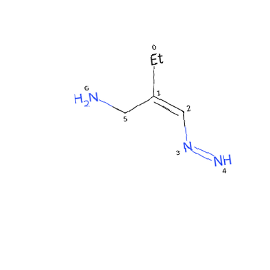 CC/C(=C/N=N)CN